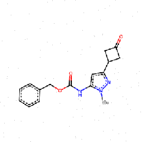 CC(C)(C)n1nc(C2CC(=O)C2)cc1NC(=O)OCc1ccccc1